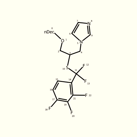 CCCCCCCCCCOCC(Cn1ccnc1)SC(F)(F)c1ccc(F)c(F)c1F